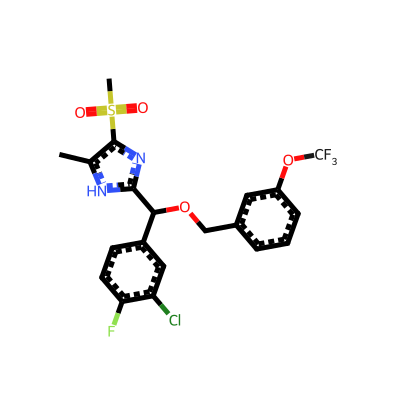 Cc1[nH]c(C(OCc2cccc(OC(F)(F)F)c2)c2ccc(F)c(Cl)c2)nc1S(C)(=O)=O